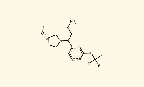 CO[C@H]1CCN(C(CCN)c2cccc(OC(F)(F)F)c2)C1